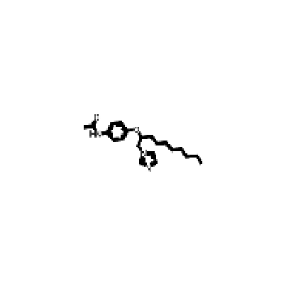 CCCCCCCCC(Cn1ccnc1)Oc1ccc(NC(C)=O)cc1